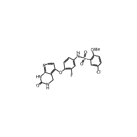 COc1ccc(Cl)cc1S(=O)(=O)Nc1ccc(Oc2ccnc3c2CNC(=O)N3)c(F)c1